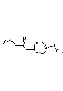 COCC(=O)Cc1ccc(OC)cc1